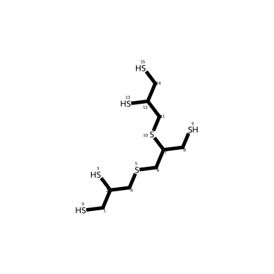 SCC(S)CSCC(CS)SCC(S)CS